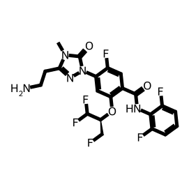 Cn1c(CCN)nn(-c2cc(O[C@@H](CF)C(F)F)c(C(=O)Nc3c(F)cccc3F)cc2F)c1=O